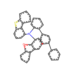 c1ccc(-c2ccc(-c3ccccc3N(c3cccc4c3oc3ccccc34)c3cccc4sc5ccccc5c34)cc2)cc1